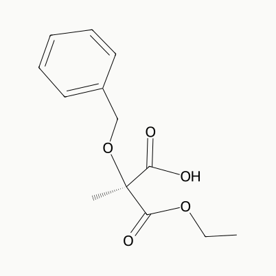 CCOC(=O)[C@@](C)(OCc1ccccc1)C(=O)O